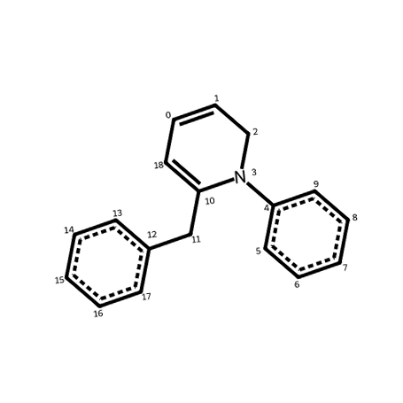 C1=CCN(c2ccccc2)C(Cc2ccccc2)=C1